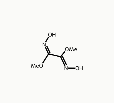 COC(=NO)C(=NO)OC